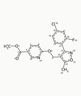 COC(=O)c1ccc(OCc2c(-c3ccc(Cl)cc3F)noc2C)nc1